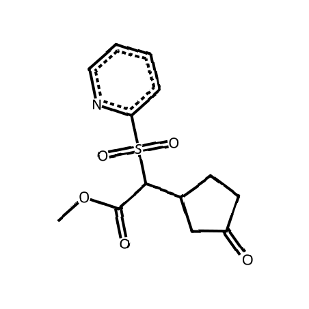 COC(=O)C(C1CCC(=O)C1)S(=O)(=O)c1ccccn1